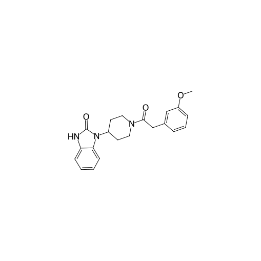 COc1cccc(CC(=O)N2CCC(n3c(=O)[nH]c4ccccc43)CC2)c1